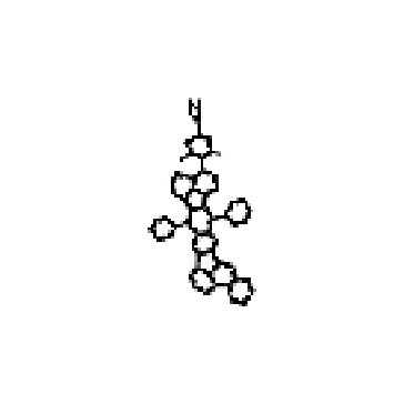 Cc1cc(C#N)cc(C)c1-c1ccc2c3c(-c4ccccc4)c4cc5c(cc4c(-c4ccccc4)c3c3cccc1c32)c1cccc2c3ccccc3cc5c21